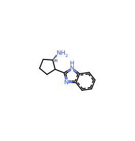 N[C@@H]1CCCC1c1nc2ccccc2[nH]1